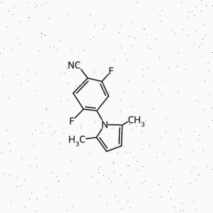 Cc1ccc(C)n1-c1cc(F)c(C#N)cc1F